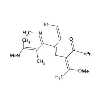 CC\C=C/C(=C\C(C(=O)CCC)=C(/C)OC)C(=N/C)/C(C)=C(\C)NC